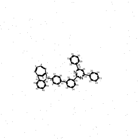 C1=C2C=CC=CC=1N(c1ccc(-c3cccc(-c4nc(-c5ccccc5)cc(-c5ccccc5)n4)c3)cc1)c1ccccc12